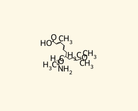 CC(N)=O.COC(C)(C)CCCC(C)CC=CC(C)=CC(=O)O